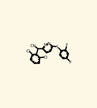 [C-]#[N+]C(c1ccc(Sc2ccc(F)cc2F)nn1)c1c(Cl)cccc1Cl